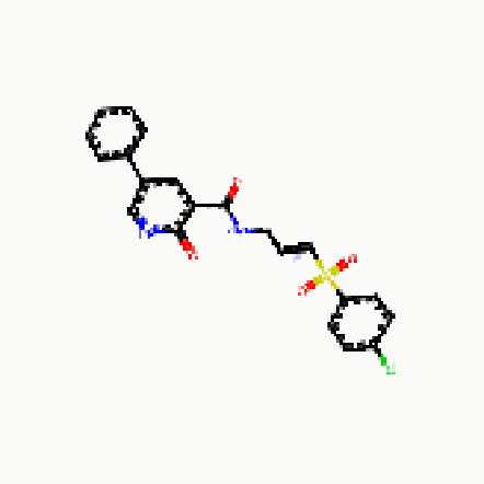 O=C(NC/C=C/S(=O)(=O)c1ccc(Cl)cc1)c1cc(-c2ccccc2)c[nH]c1=O